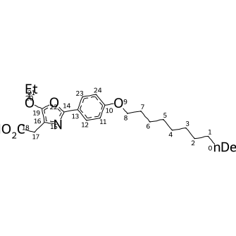 CCCCCCCCCCCCCCCCCCOc1ccc(-c2nc(CC(=O)O)c(OCC)o2)cc1